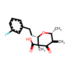 C=C1C(=O)[C@](C)(C(=O)O)[C@H](CCc2cccc(F)c2)O[C@@H]1C